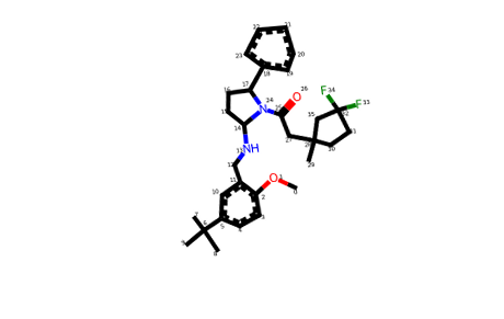 COc1ccc(C(C)(C)C)cc1CNC1CCC(c2ccccc2)N1C(=O)CC1(C)CCC(F)(F)C1